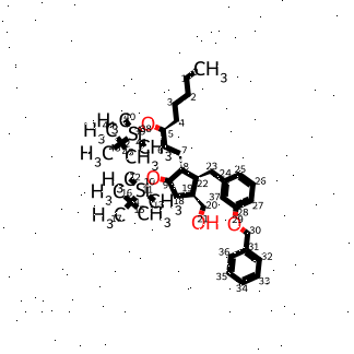 CCCCC[C@@H](CC[C@H]1C(O[Si](C)(C)C(C)(C)C)C[C@H](CO)[C@@H]1Cc1cccc(OCc2ccccc2)c1)O[Si](C)(C)C(C)(C)C